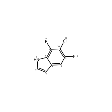 Fc1cc2cc[nH]c2c(F)c1Cl